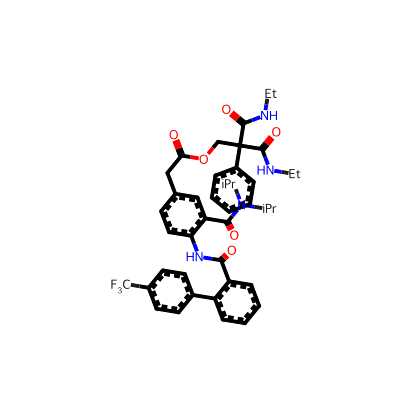 CCNC(=O)C(COC(=O)Cc1ccc(NC(=O)c2ccccc2-c2ccc(C(F)(F)F)cc2)c(C(=O)N(C(C)C)C(C)C)c1)(C(=O)NCC)c1ccccc1